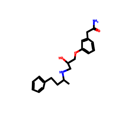 CC(CCc1ccccc1)NCC(O)COc1cccc(CC(N)=O)c1